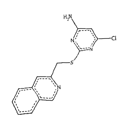 Nc1cc(Cl)nc(SCc2cc3ccccc3cn2)n1